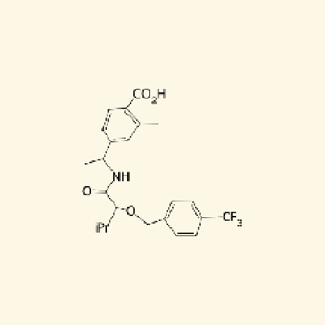 Cc1cc(C(C)NC(=O)C(OCc2ccc(C(F)(F)F)cc2)C(C)C)ccc1C(=O)O